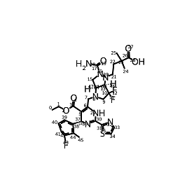 CCOC(=O)C1=C(CN2CC(F)(F)[C@H]3[C@@H]2CN(C(N)=O)N3CCC(C)(C)C(=O)O)NC(c2nccs2)=N[C@H]1c1cccc(F)c1C